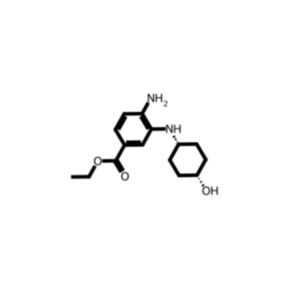 CCOC(=O)c1ccc(N)c(N[C@H]2CC[C@@H](O)CC2)c1